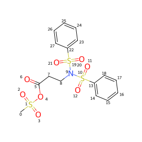 CS(=O)(=O)OC(=O)CCN(S(=O)(=O)c1ccccc1)S(=O)(=O)c1ccccc1